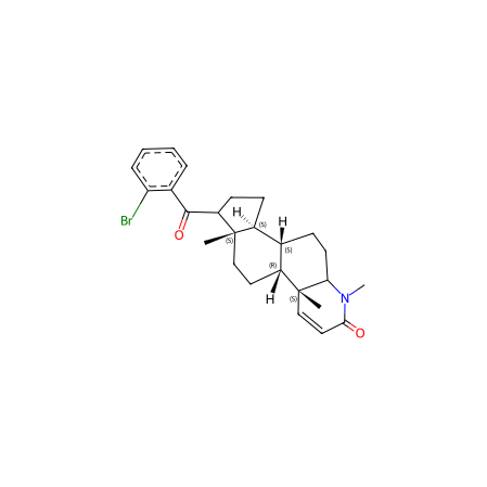 CN1C(=O)C=C[C@@]2(C)C1CC[C@@H]1[C@H]2CC[C@]2(C)C(C(=O)c3ccccc3Br)CC[C@@H]12